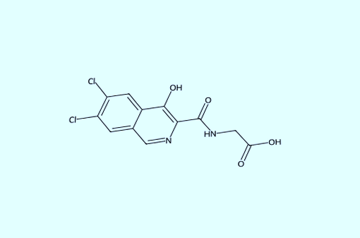 O=C(O)CNC(=O)c1ncc2cc(Cl)c(Cl)cc2c1O